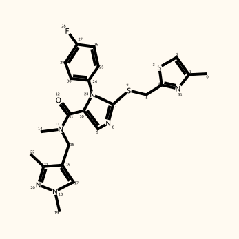 Cc1csc(CSc2ncc(C(=O)N(C)Cc3cn(C)nc3C)n2-c2ccc(F)cc2)n1